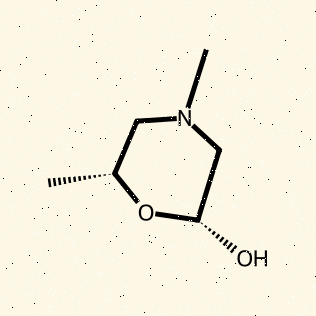 C[C@@H]1CN(C)C[C@H](O)O1